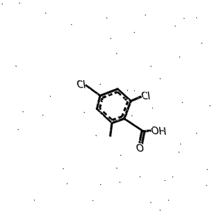 Cc1cc(Cl)cc(Cl)c1C(=O)O